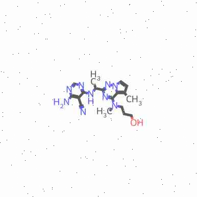 Cc1ccn2nc(C(C)Nc3ncnc(N)c3C#N)nc(N(C)CCCO)c12